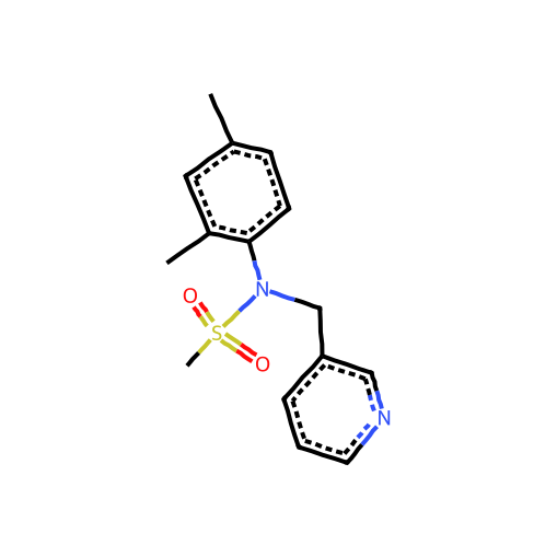 Cc1ccc(N(Cc2cccnc2)S(C)(=O)=O)c(C)c1